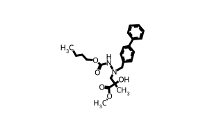 CCCCOC(=O)NN(Cc1ccc(-c2ccccc2)cc1)CC(C)(O)C(=O)OC